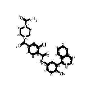 CC(=O)N1CCN(C(=O)c2ccc(C(=O)Nc3ccc(Cl)c(-c4nccc5ccccc45)c3)c(Cl)c2)CC1